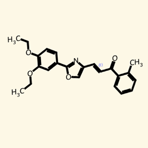 CCOc1ccc(-c2nc(/C=C/C(=O)c3ccccc3C)co2)cc1OCC